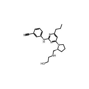 CCCc1cc(N2CCC[C@H]2CNCCO)nc(Nc2cccc(C#N)c2)n1